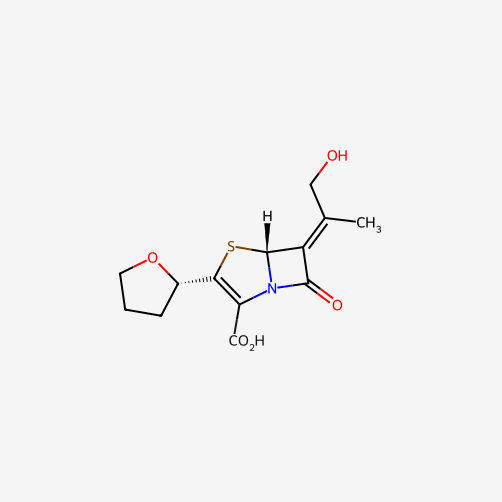 C/C(CO)=C1\C(=O)N2C(C(=O)O)=C([C@@H]3CCCO3)S[C@H]12